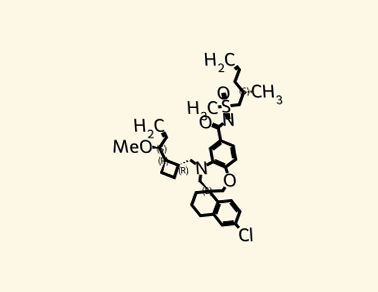 C=CC[C@H](C)CS(C)(=O)=NC(=O)c1ccc2c(c1)N(C[C@@H]1CC[C@H]1[C@H](C=C)OC)C[C@@]1(CCCc3cc(Cl)ccc31)CO2